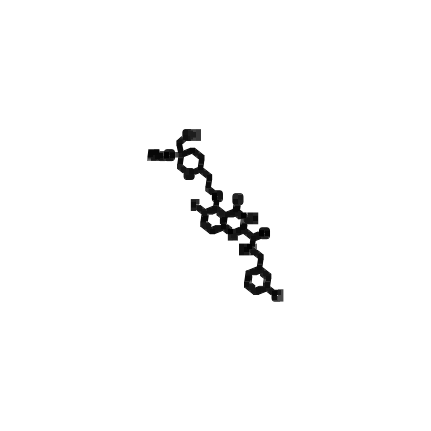 COC1(CO)CCC(CCOc2c(F)ccc3nc(C(=O)NCc4cccc(Cl)c4)[nH]c(=O)c23)OC1